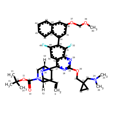 C=CC1[C@@H]2CC[C@@H](CN2C(=O)OC(C)(C)C)N1c1nc(OCC2(CN(C)C)CC2)nc2c(F)c(-c3cc(OCOC)cc4ccccc34)c(F)cc12